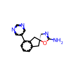 NC1=NC[C@@]2(Cc3cccc(-c4cncnc4)c3C2)O1